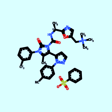 Cc1c(-c2ccnn2-c2ccc(C#N)cc2)n(C(=O)N[C@@H](C)c2ncc(C[N+](C)(C)C)o2)c(=O)n1-c1cccc(C(F)(F)F)c1.O=S(=O)([O-])c1ccccc1